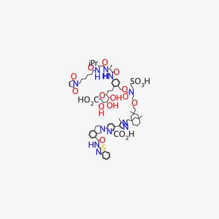 Cc1c(-c2ccc(N3CCc4cccc(C(=O)Nc5nc6ccccc6s5)c4C3)nc2C(=O)O)cnn1CC12CCCC(C)(CC(C)(CCOCCN(CCS(=O)(=O)O)C(=O)OCc3ccc(NC(=O)[C@H](C)NC(=O)[C@@H](NC(=O)CCCCCN4C(=O)C=CC4=O)C(C)C)cc3CC[C@@H]3O[C@H](C(=O)O)[C@@H](O)[C@H](O)[C@H]3O)C1)C2